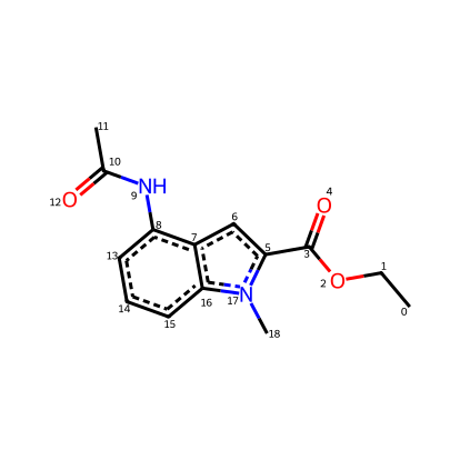 CCOC(=O)c1cc2c(NC(C)=O)cccc2n1C